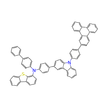 c1ccc(-c2ccc(N(c3ccc(-c4ccc5c(c4)c4ccccc4n5-c4ccc(-c5ccc6c7ccccc7c7ccccc7c6c5)cc4)cc3)c3cccc4c3sc3ccccc34)cc2)cc1